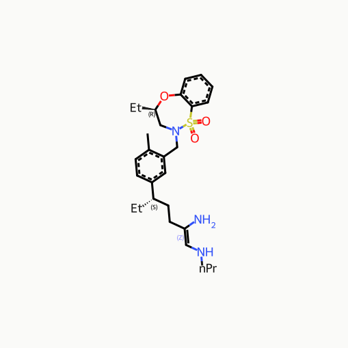 CCCN/C=C(\N)CC[C@H](CC)c1ccc(C)c(CN2C[C@@H](CC)Oc3ccccc3S2(=O)=O)c1